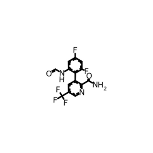 NC(=O)c1ncc(C(F)(F)F)cc1-c1c(F)cc(F)cc1NC=O